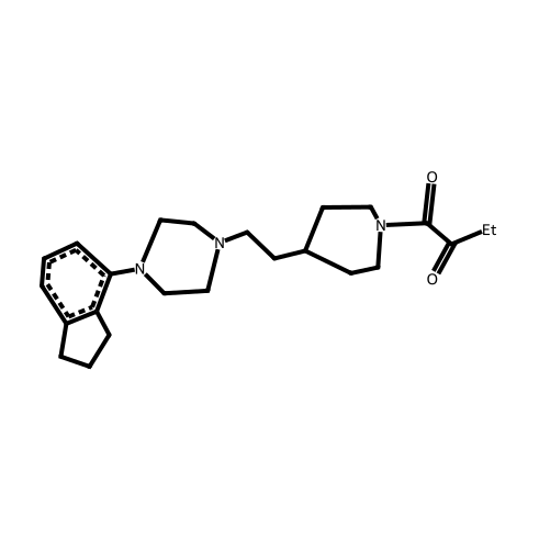 CCC(=O)C(=O)N1CCC(CCN2CCN(c3cccc4c3CCC4)CC2)CC1